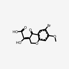 COc1cc2c(cc1Br)C(=O)C(=C(O)C(=O)O)CO2